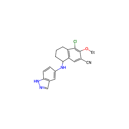 CCOc1c(C#N)cc2c(c1Cl)CCCC2Nc1ccc2[nH]ncc2c1